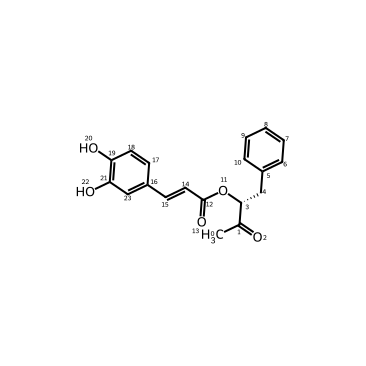 CC(=O)[C@@H](Cc1ccccc1)OC(=O)/C=C/c1ccc(O)c(O)c1